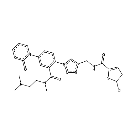 CN(C)CCN(C)C(=O)c1cc(-n2ccccc2=O)ccc1-n1cc(CNC(=O)C2=CCC(Cl)S2)nn1